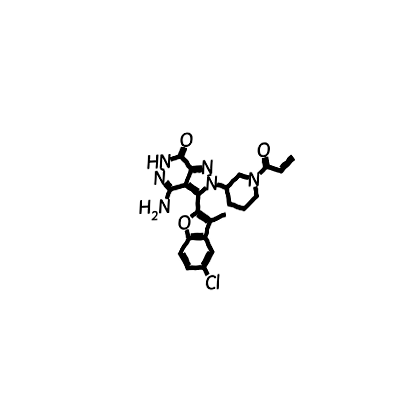 C=CC(=O)N1CCCC(n2nc3c(=O)[nH]nc(N)c3c2-c2oc3ccc(Cl)cc3c2C)C1